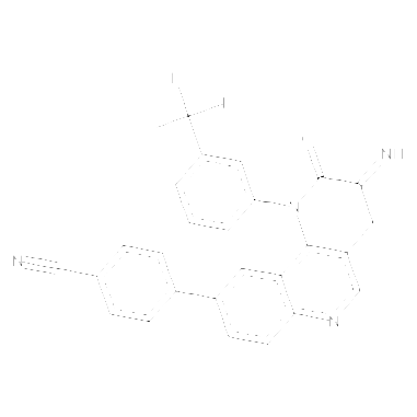 N#Cc1ccc(-c2ccc3ncc4c(c3c2)N(c2cccc(C(F)(F)F)c2)C(=O)C(=N)C4)cc1